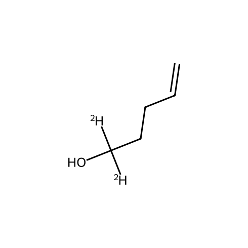 [2H]C([2H])(O)CCC=C